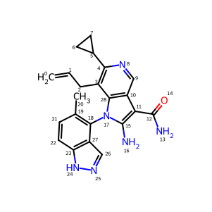 C=CCc1c(C2CC2)ncc2c(C(N)=O)c(N)n(-c3c(C)ccc4[nH]ncc34)c12